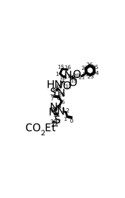 C=CCn1c(Cc2csc(NC(=O)[C@@H]3CCCN3C(=O)OCc3ccccc3)n2)nnc1SCC(=O)OCC